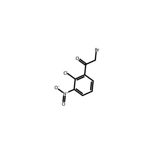 O=C(CBr)c1cccc([N+](=O)[O-])c1Cl